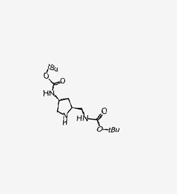 CC(C)(C)OC(=O)NC[C@@H]1C[C@H](NC(=O)OC(C)(C)C)CN1